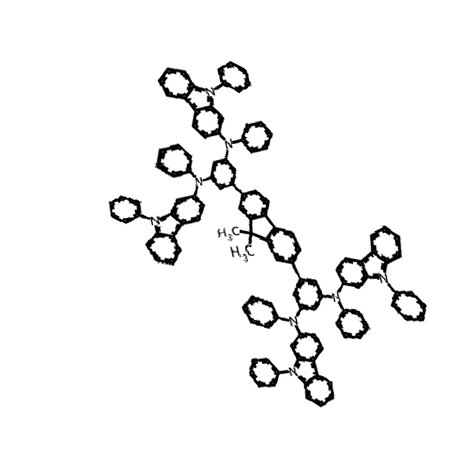 CC1(C)c2cc(-c3cc(N(c4ccccc4)c4ccc5c6ccccc6n(-c6ccccc6)c5c4)cc(N(c4ccccc4)c4ccc5c6ccccc6n(-c6ccccc6)c5c4)c3)ccc2-c2ccc(-c3cc(N(c4ccccc4)c4ccc5c6ccccc6n(-c6ccccc6)c5c4)cc(N(c4ccccc4)c4ccc5c6ccccc6n(-c6ccccc6)c5c4)c3)cc21